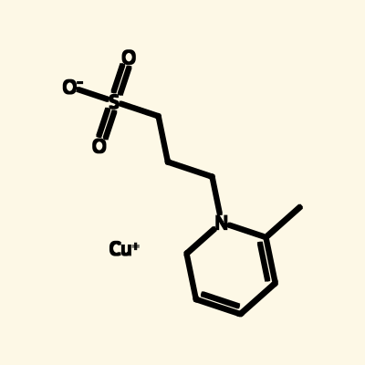 CC1=CC=CCN1CCCS(=O)(=O)[O-].[Cu+]